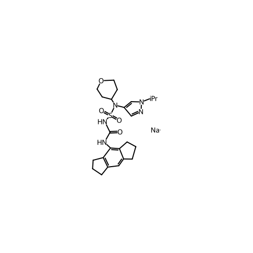 CC(C)n1cc(N(C2CCOCC2)S(=O)(=O)NC(=O)Nc2c3c(cc4c2CCC4)CCC3)cn1.[Na]